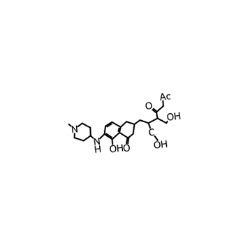 CC(=O)CC(=O)C(CO)C(CCO)CC1CC(=O)c2c(ccc(NC3CCN(C)CC3)c2O)C1